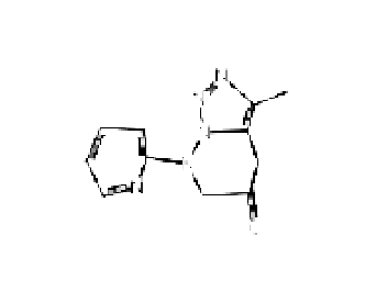 Cc1nnn2c1CC(=O)CN2c1ccccn1